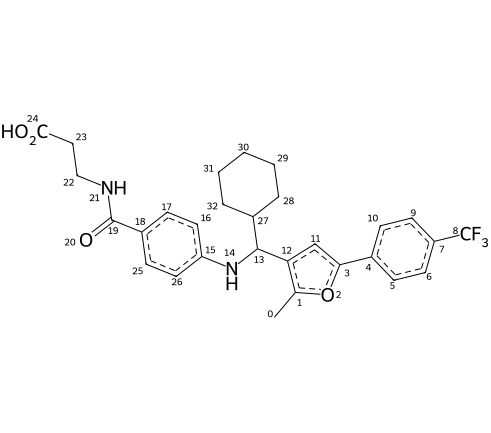 Cc1oc(-c2ccc(C(F)(F)F)cc2)cc1C(Nc1ccc(C(=O)NCCC(=O)O)cc1)C1CCCCC1